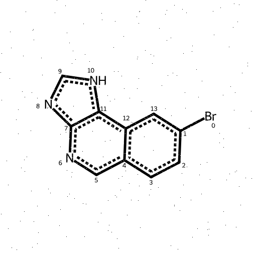 Brc1ccc2cnc3nc[nH]c3c2c1